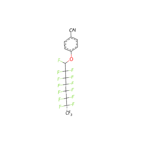 N#Cc1ccc(OC(F)C(F)(F)C(F)(F)C(F)(F)C(F)(F)C(F)(F)C(F)(F)C(F)(F)F)cc1